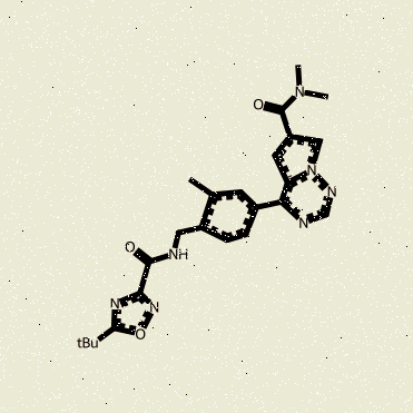 Cc1cc(-c2ncnn3cc(C(=O)N(C)C)cc23)ccc1CNC(=O)c1noc(C(C)(C)C)n1